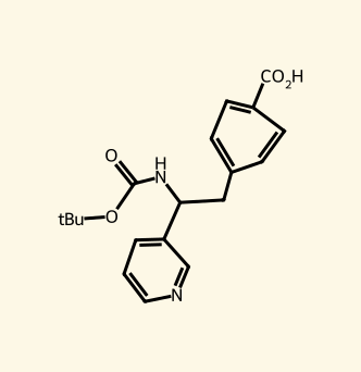 CC(C)(C)OC(=O)NC(Cc1ccc(C(=O)O)cc1)c1cccnc1